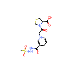 CS(=O)(=O)NNC(=O)C1=CN(CC(=O)N2CSCC2C(=O)O)C=CC1